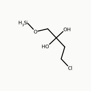 OC(O)(CCCl)CO[SiH3]